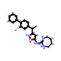 CC(c1ccc(-c2ccccc2)c(F)c1)c1cc(NC2=NCCCCN2)on1